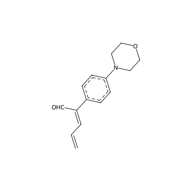 C=CC=C(C=O)c1ccc(N2CCOCC2)cc1